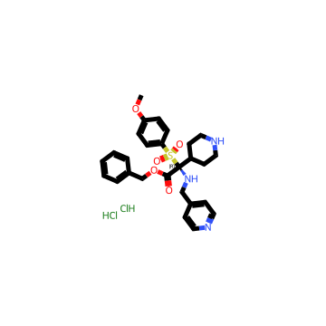 COc1ccc(S(=O)(=O)[C@@](NCc2ccncc2)(C(=O)OCc2ccccc2)C2CCNCC2)cc1.Cl.Cl